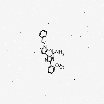 CCOc1ccccc1-c1nc2c3cnn(CCc4ccccc4)c3nc(N)n2n1